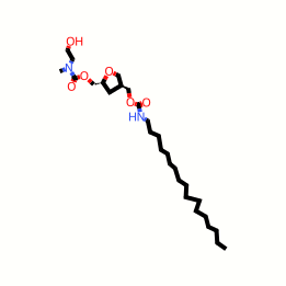 CCCCCCCCCCCCCCCCCNC(=O)OC[C@@H]1CO[C@@H](COC(=O)N(C)CCO)C1